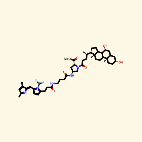 COC(=O)[C@@H]1C[C@H](NC(=O)CCCNC(=O)CCc2ccc(/C=C3\N=C(C)C=C3C)n2B(F)F)CN1C(=O)CC[C@@H](C)[C@H]1CCC2C3C(CC[C@@]21C)[C@@]1(C)CC[C@@H](O)CC1C[C@@H]3O